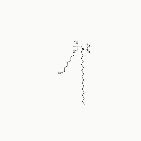 CCCCCCCCCCCCCCCCCCN(CC(C)(COCCCCCCCO)OC)C(=O)OC